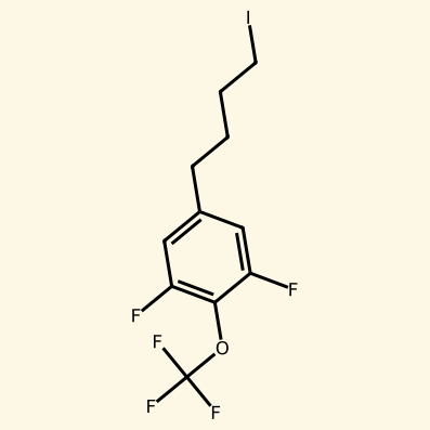 Fc1cc(CCCCI)cc(F)c1OC(F)(F)F